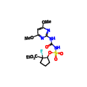 CCOC(=O)C1(F)CCCC1OS(=O)(=O)NC(=O)Nc1nc(OC)cc(OC)n1